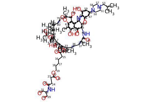 CC(=O)O[C@H]1[C@H](C)[C@H](O)[C@H](C)[C@@H](OC(=O)CCCCCOC(=O)CCC(=O)NC(C=O)C=O)[C@@H](C)/C=C/C=C(/C)C(=O)Nc2c3oc4cc(N5CCN(CC(C)C)CC5)cc(O)c4nc-3c3c4c(c(C)c(O)c3c2=O)O[C@](C)(O/C=C/[C@H](C)[C@H]1C)C4=O